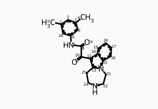 Cc1cc(C)cc(NC(=O)C(=O)c2c3n(c4ccccc24)CCNCC3)c1